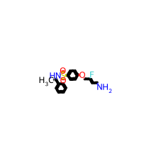 C[C@H](NS(=O)(=O)c1ccc(OCC(F)=CCN)cc1)c1ccccc1